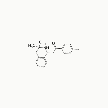 CC1(C)Cc2ccccc2/C(=C/C(=O)c2ccc(F)cc2)N1